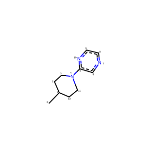 CC1CCN(c2cnccn2)CC1